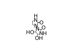 O=C1NCCN1N1C(=O)NC(O)C1O